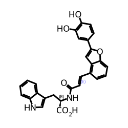 O=C(/C=C/c1cccc2oc(-c3ccc(O)c(O)c3)cc12)N[C@H](Cc1c[nH]c2ccccc12)C(=O)O